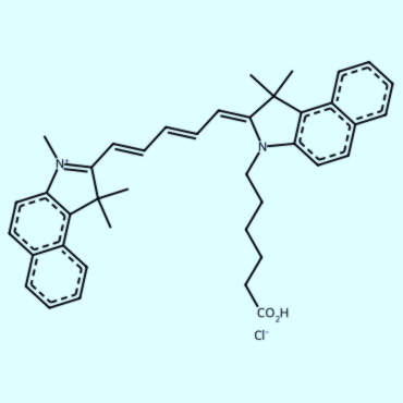 C[N+]1=C(C=CC=CC=C2N(CCCCCC(=O)O)c3ccc4ccccc4c3C2(C)C)C(C)(C)c2c1ccc1ccccc21.[Cl-]